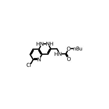 CCCCOC(=O)NCC1=Cc2nc(Cl)ccc2NN1